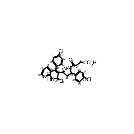 O=C(O)CCC(=O)N1N=C(c2c(-c3ccc(Cl)cc3)c3cccnc3[nH]c2=O)CC1c1ccc(Cl)cc1